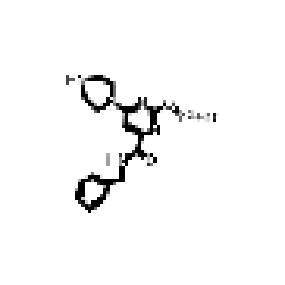 CCCCCOc1nc(C(=O)NCc2ccccc2)cc(N2CCNCC2)n1